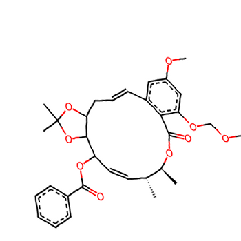 COCOc1cc(OC)cc2c1C(=O)O[C@@H](C)[C@H](C)/C=C\C(OC(=O)c1ccccc1)C1OC(C)(C)OC1C/C=C/2